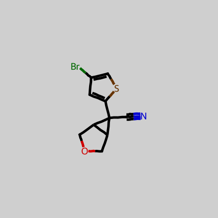 N#CC1(c2cc(Br)cs2)C2COCC21